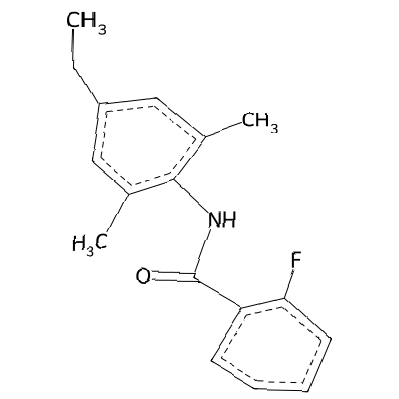 CCc1cc(C)c(NC(=O)c2ccccc2F)c(C)c1